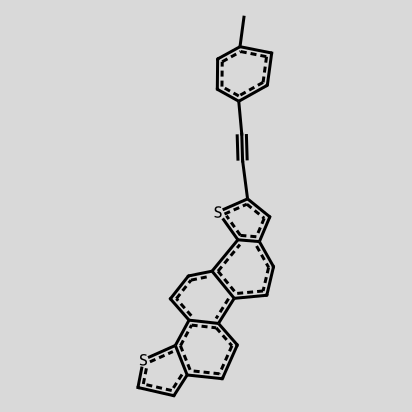 Cc1ccc(C#Cc2cc3ccc4c5ccc6ccsc6c5ccc4c3s2)cc1